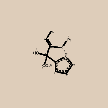 C/C=C(\SC(C)C)C(O)(C(=O)O)c1cccs1